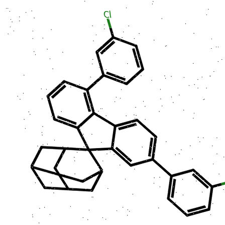 Clc1cccc(-c2ccc3c(c2)C2(c4cccc(-c5cccc(Cl)c5)c4-3)C3CC4CC(C3)CC2C4)c1